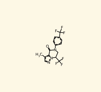 Cc1cnn2c1C(=O)N(c1ccc(C(F)(F)F)cc1)CC2C(F)(F)F